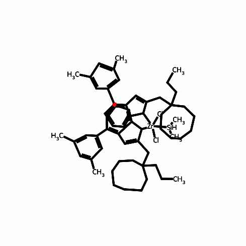 CCCC1(CC2=Cc3c(-c4cc(C)cc(C)c4)cccc3[CH]2[Zr]([Cl])([Cl])([CH]2C(CC3(CCC)CCCCCCC3)=Cc3c(-c4cc(C)cc(C)c4)cccc32)[SiH](C)C)CCCCCCC1